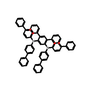 c1ccc(-c2ccc(N(c3ccc(-c4ccccc4)cc3)c3cc(N(c4ccc(-c5ccccc5)cc4)c4ccc(-c5ccccc5)cc4)c(-c4ccccc4)cc3-c3ccccc3)cc2)cc1